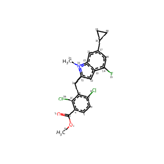 COC(=O)c1ccc(Cl)c(Cc2cc3c(F)cc(C4CC4)cc3n2C)c1Cl